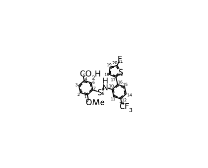 COc1ccc(C(=O)O)cc1SNc1cc(C(F)(F)F)ccc1-c1ccc(F)s1